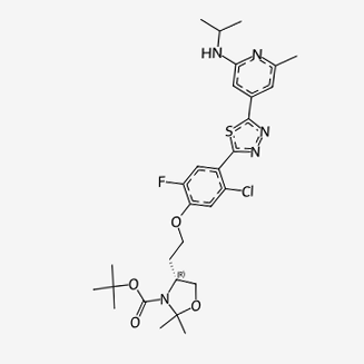 Cc1cc(-c2nnc(-c3cc(F)c(OCC[C@@H]4COC(C)(C)N4C(=O)OC(C)(C)C)cc3Cl)s2)cc(NC(C)C)n1